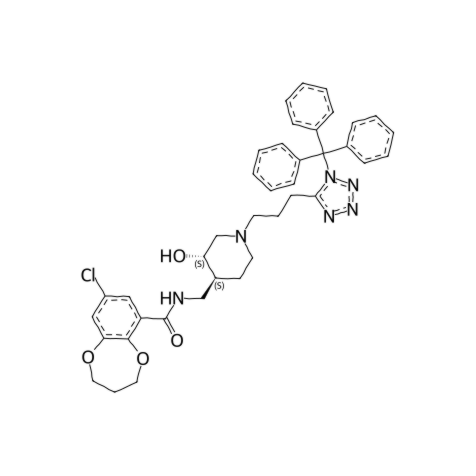 O=C(NC[C@@H]1CCN(CCCc2nnnn2C(c2ccccc2)(c2ccccc2)c2ccccc2)C[C@H]1O)c1cc(Cl)cc2c1OCCCO2